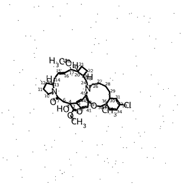 COC(=O)[C@@]1(O)CC(=O)N2CCC[C@H]2C/C=C/[C@H](OC)[C@@H]2CC[C@H]2CN2CCCCC3C=C(Cl)C=CC3(C)COc3ccc1cc32